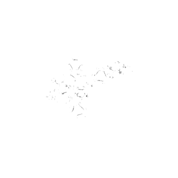 CCOC(=O)C(Cc1c[nH]c2ccccc12)NC(=O)[C@H](Cc1ccccc1)n1cc(COc2ccc3nc(S(N)(=O)=O)sc3c2)nn1